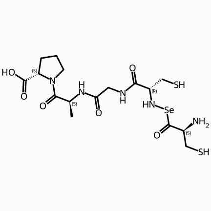 C[C@H](NC(=O)CNC(=O)[C@H](CS)N[Se]C(=O)[C@@H](N)CS)C(=O)N1CCC[C@H]1C(=O)O